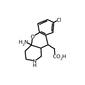 NC12CCNCC1C(CC(=O)O)c1cc(Cl)ccc1O2